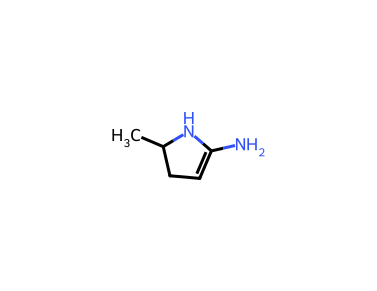 CC1CC=C(N)N1